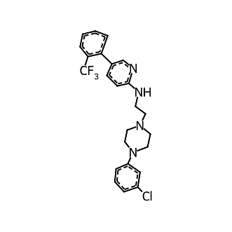 FC(F)(F)c1ccccc1-c1ccc(NCCN2CCN(c3cccc(Cl)c3)CC2)nc1